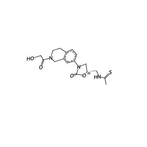 CC(=S)NC[C@H]1CN(c2ccc3c(c2)CN(C(=O)CO)CC3)C(=O)O1